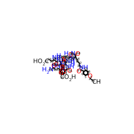 C#CCOc1ccc(C(=O)NCCCC[C@H](NC(=O)[C@H](CC(C)C)NC(=O)[C@H](Cc2ccccc2)NC(=O)[C@H](CCC(=O)O)NC(=O)[C@H](CC(N)=O)NC(=O)[C@H](CC(=O)O)NC(=O)[C@@H](N)CCC(=O)O)C(N)=O)cc1